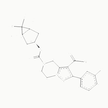 NC(=O)c1c(-c2cccc(Cl)c2)nn2c1CN(C(=O)N[C@H]1C[C@@H]3[C@H](C1)C3(F)F)CC2